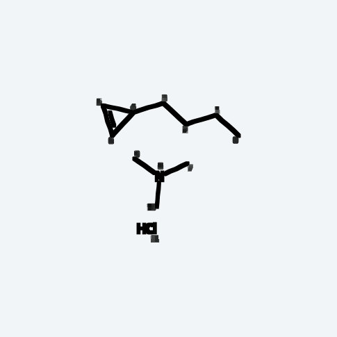 CCCCC1C=C1.CN(C)C.Cl